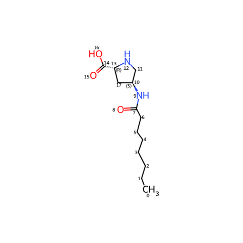 CCCCCCCC(=O)N[C@@H]1CN[C@@H](C(=O)O)C1